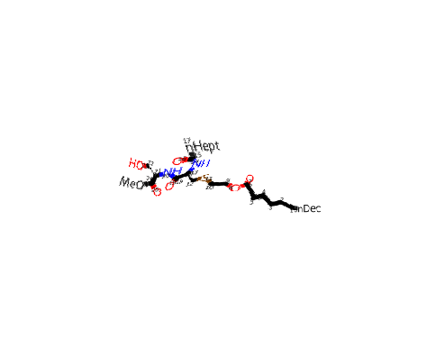 CCCCCCCCCCCCCCCC(=O)OCCSC[C@H](NC(=O)CCCCCCC)C(=O)N[C@@H](CO)C(=O)OC